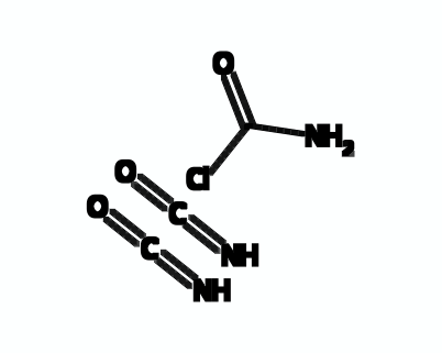 N=C=O.N=C=O.NC(=O)Cl